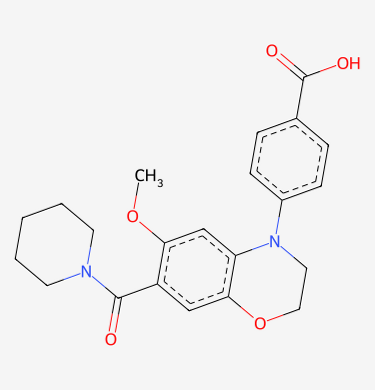 COc1cc2c(cc1C(=O)N1CCCCC1)OCCN2c1ccc(C(=O)O)cc1